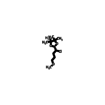 COCCCC(Cl)B1OC(C)(C)C(C)(C)O1